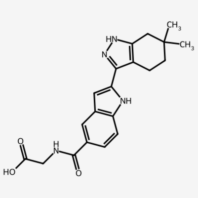 CC1(C)CCc2c(-c3cc4cc(C(=O)NCC(=O)O)ccc4[nH]3)n[nH]c2C1